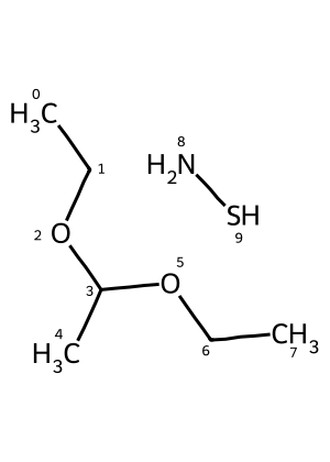 CCOC(C)OCC.NS